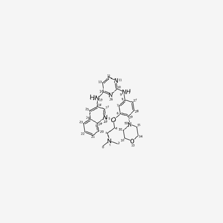 CN(C)CCOc1cc(Nc2nccc(Nc3cnc4ccccc4c3)n2)ccc1N1CCOCC1